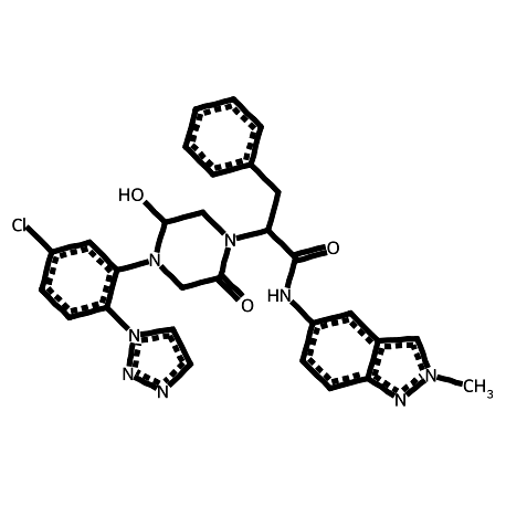 Cn1cc2cc(NC(=O)C(Cc3ccccc3)N3CC(O)N(c4cc(Cl)ccc4-n4ccnn4)CC3=O)ccc2n1